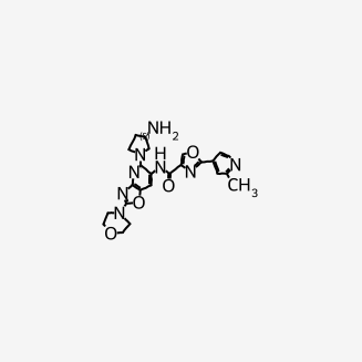 Cc1cc(-c2nc(C(=O)Nc3cc4oc(N5CCOCC5)nc4nc3N3CC[C@H](N)C3)co2)ccn1